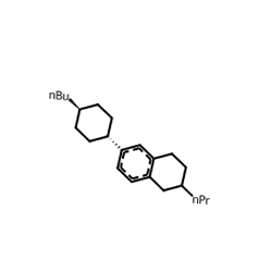 CCCC[C@H]1CC[C@H](c2ccc3c(c2)CCC(CCC)C3)CC1